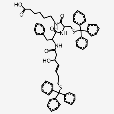 O=C(O)CCCCCNC(=O)C(CSC(c1ccccc1)(c1ccccc1)c1ccccc1)NC(=O)C(Cc1ccccc1)NC(=O)CC(O)C=CCCSC(c1ccccc1)(c1ccccc1)c1ccccc1